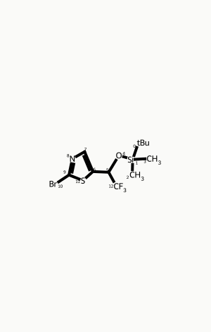 CC(C)(C)[Si](C)(C)OC(c1cnc(Br)s1)C(F)(F)F